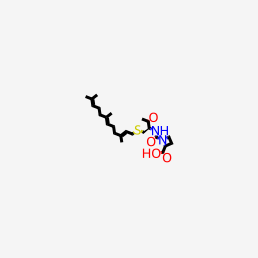 CC(=O)[C@H](CSC/C=C(\C)CC/C=C(\C)CCC=C(C)C)NC(=O)N1CCC1C(=O)O